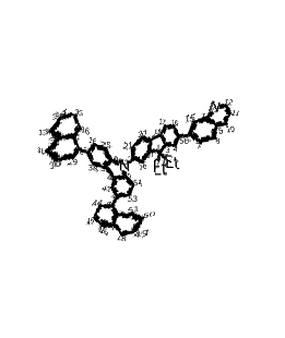 CCC1(CC)c2cc(-c3ccc4cccnc4c3)ccc2-c2ccc(-n3c4ccc(-c5cccc6ccccc56)cc4c4cc(-c5cccc6ccccc56)ccc43)cc21